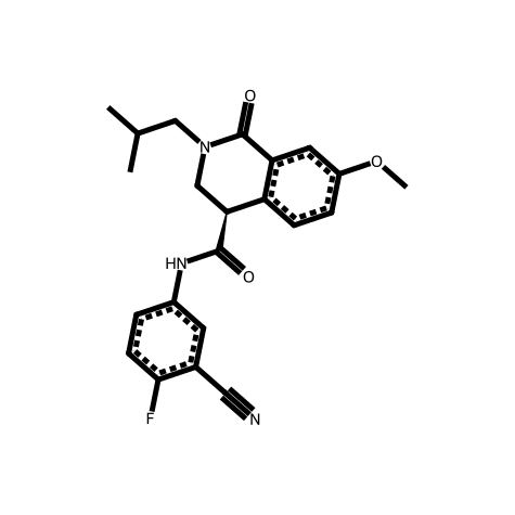 COc1ccc2c(c1)C(=O)N(CC(C)C)C[C@@H]2C(=O)Nc1ccc(F)c(C#N)c1